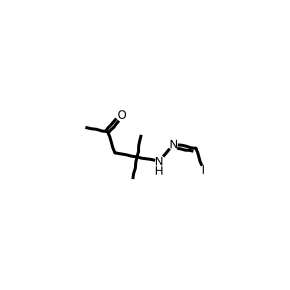 CC(=O)CC(C)(C)N/N=C\I